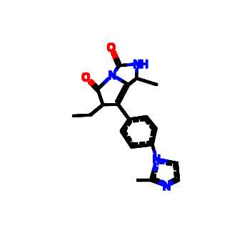 CCC1C(=O)N2C(=O)NC(C)C2=C1c1ccc(-n2ccnc2C)cc1